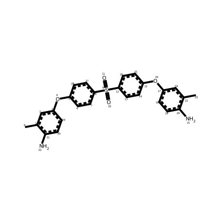 Cc1cc(Oc2ccc(S(=O)(=O)c3ccc(Oc4ccc(N)c(C)c4)cc3)cc2)ccc1N